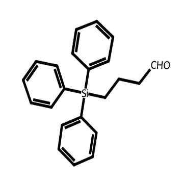 O=CCCC[Si](c1ccccc1)(c1ccccc1)c1ccccc1